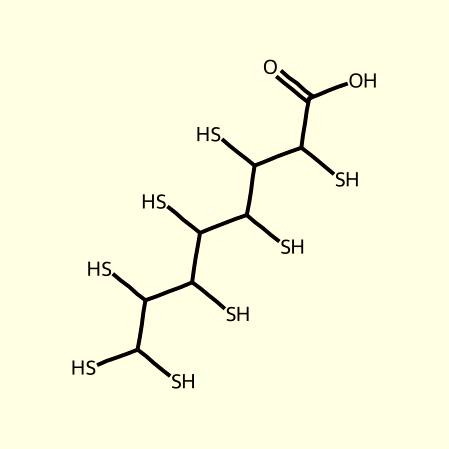 O=C(O)C(S)C(S)C(S)C(S)C(S)C(S)C(S)S